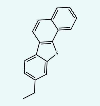 CCc1ccc2c(c1)sc1c3ccccc3ccc21